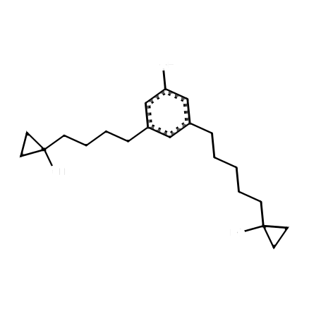 CC1(CCCCCc2cc(O)cc(CCCCC3(C)CC3)c2)CC1